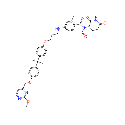 COc1nccc(COc2ccc(C(C)(C)c3ccc(OCCCNc4ccc(C(=O)N(C=O)C5CCC(=O)NC5=O)c(C)c4)cc3)cc2)n1